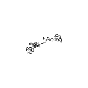 CN(CCCCCCCCCNC[C@H](O[Si](C)(C)C(C)(C)C)c1ccc(O)c2[nH]c(=O)ccc12)[C@H]1CC[C@H](OC(=O)C2(C)c3ccccc3Oc3ccccc32)CC1